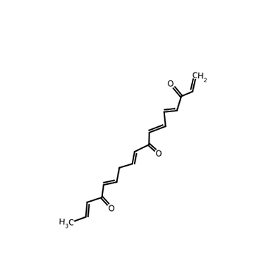 C=CC(=O)/C=C/C=C/C(=O)/C=C/C/C=C/C(=O)/C=C/C